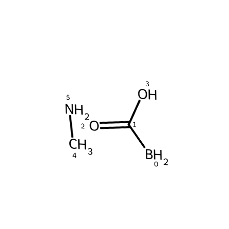 BC(=O)O.CN